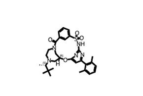 Cc1cccc(C)c1-c1cc2nc(n1)NS(=O)(=O)c1cccc(c1)C(=O)N1CCN([C@@H](C)C(C)(C)C)C[C@H](C1)O2